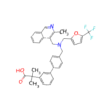 Cc1ncc2ccccc2c1CN(Cc1ccc(-c2cccc(C(C)(C)C(=O)O)c2)cc1)Cc1ccc(C(F)(F)F)o1